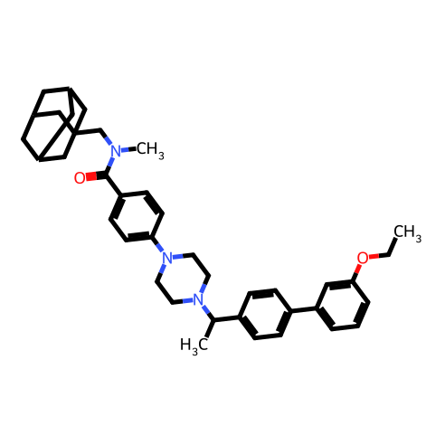 CCOc1cccc(-c2ccc(C(C)N3CCN(c4ccc(C(=O)N(C)CC56CC7CC(CC(C7)C5)C6)cc4)CC3)cc2)c1